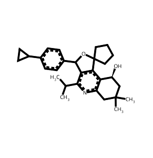 CC(C)c1nc2c(c3c1C(c1ccc(C4CC4)cc1)OC31CCCC1)[C@@H](O)CC(C)(C)C2